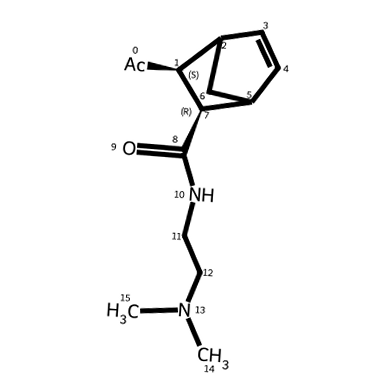 CC(=O)[C@H]1C2C=CC(C2)[C@H]1C(=O)NCCN(C)C